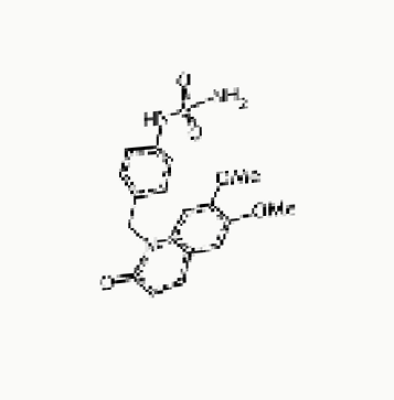 COc1cc2ccc(=O)n(Cc3ccc(NS(N)(=O)=O)cc3)c2cc1OC